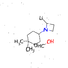 O=CO.[Li][CH]1CCN1C1CCC(C)(C)CC1